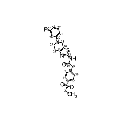 CCS(=O)(=O)c1ccc(CC(=O)Nc2nc3c(s2)CN(c2cccc(F)c2)CC3)cc1